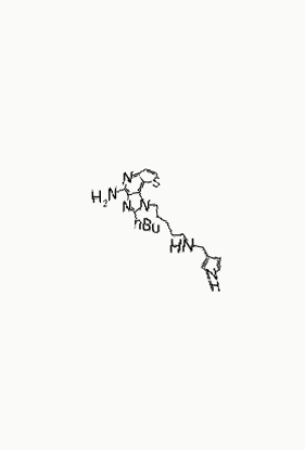 CCCCc1nc2c(N)nc3ccsc3c2n1CCCCCNCc1cc[nH]c1